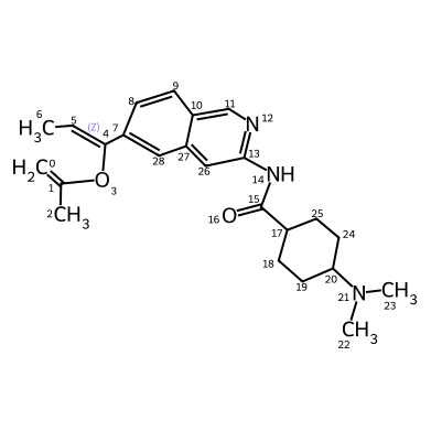 C=C(C)O/C(=C\C)c1ccc2cnc(NC(=O)C3CCC(N(C)C)CC3)cc2c1